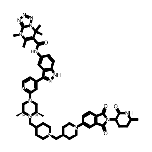 C=C1CCC(N2C(=O)c3ccc(N4CCC(CN5CCC(CN6[C@H](C)CN(c7cc(-c8n[nH]c9ccc(NC(=O)C%10=C(C)N(C)c%11nnnn%11C%10(C)C)cc89)ccn7)C[C@@H]6C)CC5)CC4)cc3C2=O)C(=O)N1